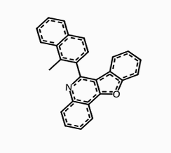 Cc1c(-c2nc3ccccc3c3oc4ccccc4c23)ccc2ccccc12